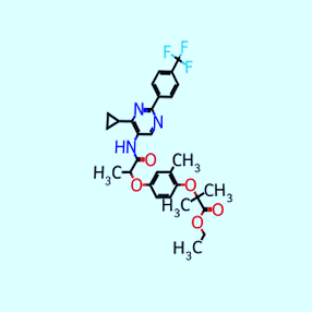 CCOC(=O)C(C)(C)Oc1ccc(OC(C)C(=O)Nc2cnc(-c3ccc(C(F)(F)F)cc3)nc2C2CC2)cc1C